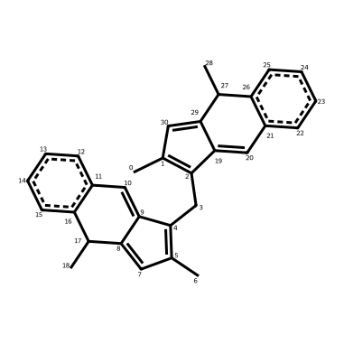 CC1=C(CC2=C(C)C=C3C2=Cc2ccccc2C3C)C2=Cc3ccccc3C(C)C2=C1